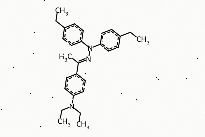 CCc1ccc(N(/N=C(\C)c2ccc(N(CC)CC)cc2)c2ccc(CC)cc2)cc1